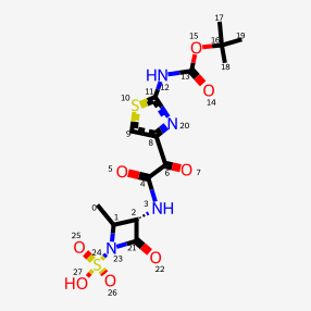 CC1[C@H](NC(=O)C(=O)c2csc(NC(=O)OC(C)(C)C)n2)C(=O)N1S(=O)(=O)O